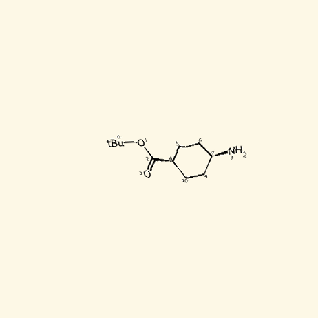 CC(C)(C)OC(=O)[C@H]1CC[C@@H](N)CC1